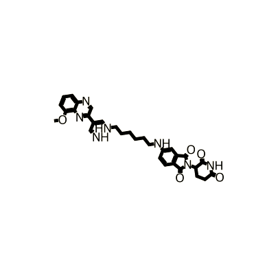 COc1cccc2ncc(/C(C=N)=C/NCCCCCCNc3ccc4c(c3)C(=O)N(C3CCC(=O)NC3=O)C4=O)nc12